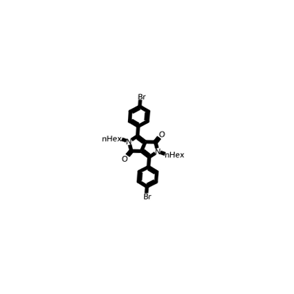 CCCCCCN1C(=O)C2=C(c3ccc(Br)cc3)N(CCCCCC)C(=O)C2=C1c1ccc(Br)cc1